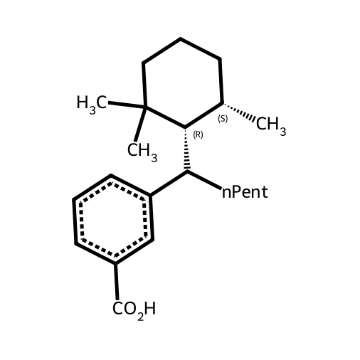 CCCCCC(c1cccc(C(=O)O)c1)[C@H]1[C@@H](C)CCCC1(C)C